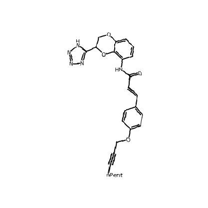 CCCCCC#CCOc1ccc(/C=C/C(=O)Nc2cccc3c2OC(c2nnn[nH]2)CO3)cc1